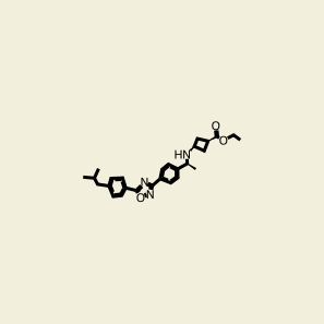 CCOC(=O)[C@H]1C[C@@H](N[C@@H](C)c2ccc(-c3noc(-c4ccc(CC(C)C)cc4)n3)cc2)C1